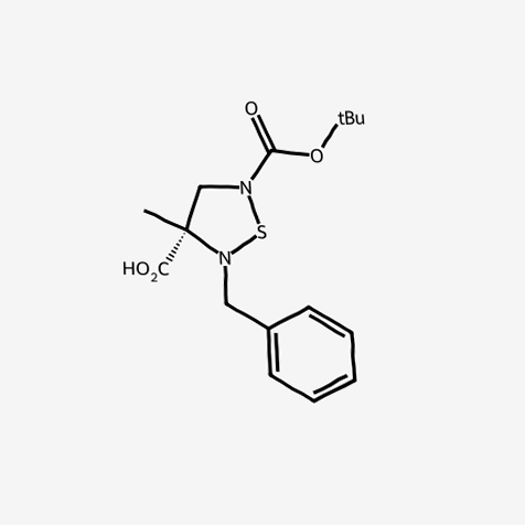 CC(C)(C)OC(=O)N1C[C@@](C)(C(=O)O)N(Cc2ccccc2)S1